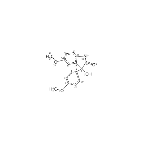 COc1ccc(C2(O)C(=O)Nc3ccc(OC)cc32)cc1